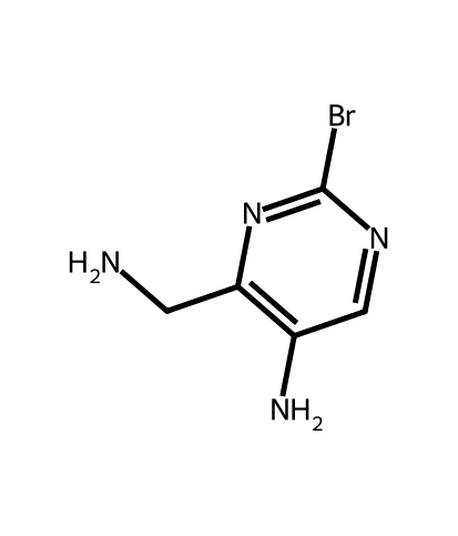 NCc1nc(Br)ncc1N